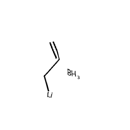 B.[Li][CH2]C=C